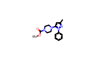 Cc1cc(N2CCN(C(=O)OC(C)(C)C)CC2)n(-c2ccccc2)n1